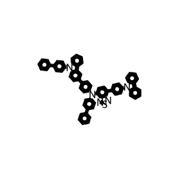 c1ccc(-c2ccc(N(c3ccc(-c4ccc5c(c4)c4ccccc4n5-c4ccc(-c5ccccc5)cc4)cc3)c3ccc(-c4ccc(-n5c6ccccc6c6ccccc65)cc4)c4nsnc34)cc2)cc1